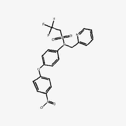 O=[N+]([O-])c1ccc(Oc2ccc(N(Cc3ccccn3)S(=O)(=O)CC(F)(F)F)cc2)cc1